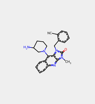 Cn1c(=O)n(Cc2ccccc2C#N)c2c(N3CCCC(N)C3)c3ccccc3nc21